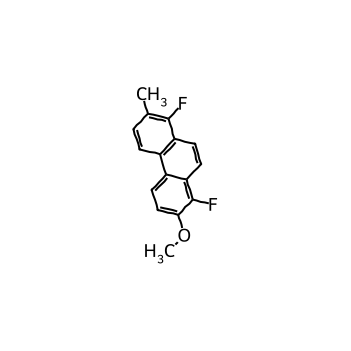 COc1ccc2c(ccc3c(F)c(C)ccc32)c1F